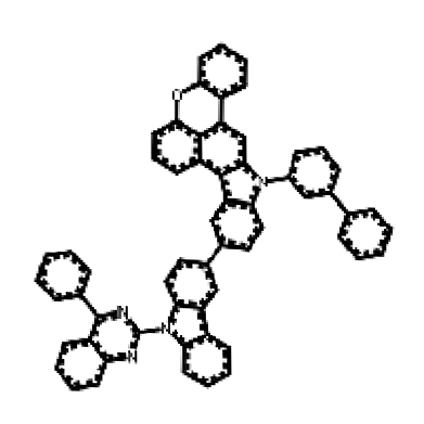 c1ccc(-c2cccc(-n3c4ccc(-c5ccc6c(c5)c5ccccc5n6-c5nc(-c6ccccc6)c6ccccc6n5)cc4c4c5cccc6c5c(cc43)-c3ccccc3O6)c2)cc1